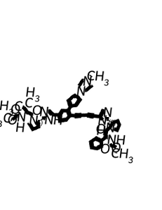 COC(=O)NC(C(=O)N1CCC[C@H]1c1ncc(-c2ccc(C#CC#Cc3cnc([C@@H]4CCCN4C(=O)[C@H](NC(=O)OC)c4ccccc4)[nH]3)c(-c3ccc(N4CCN(C)CC4)cc3)c2)[nH]1)C(C)C